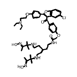 CCN(CC)CCOc1ccc(-c2oc3ccc(Cl)cc3c2C(=O)c2ccc(OCC(=O)NCCC(CCNC(C)(C)/C(C)=N/O)CCNC(C)(C)/C(C)=N/O)cc2)cc1